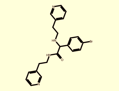 O=C(NCCc1cccnc1)C(NCCc1cccnc1)c1ccc(Br)cc1